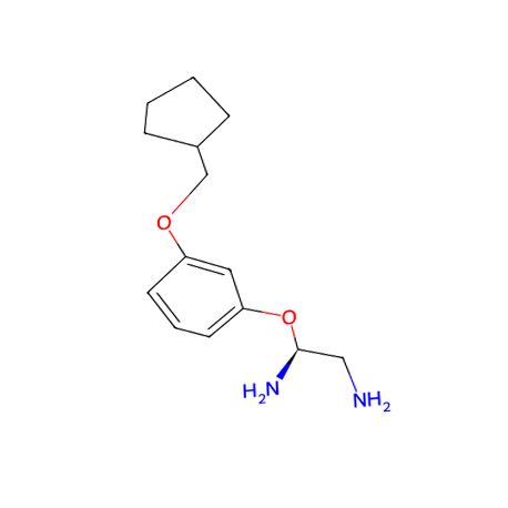 NC[C@@H](N)Oc1cccc(OCC2CCCC2)c1